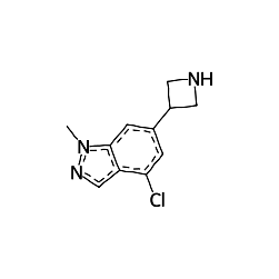 Cn1ncc2c(Cl)cc(C3CNC3)cc21